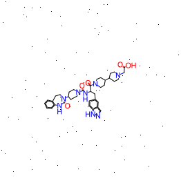 O=C(O)CN1CCC(C2CCN(C(=O)C(Cc3ccc4[nH]ncc4c3)NC(=O)N3CCC(N4CCc5ccccc5NC4=O)CC3)CC2)CC1